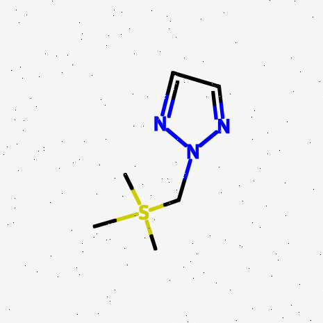 CS(C)(C)Cn1nccn1